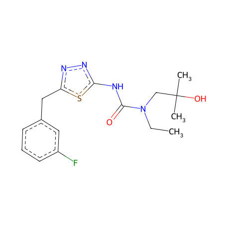 CCN(CC(C)(C)O)C(=O)Nc1nnc(Cc2cccc(F)c2)s1